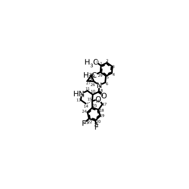 Cc1cccc(CN(C(=O)C2CNCC[C@@]23OCc2cc(F)c(F)cc23)C2CC2)c1C